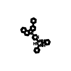 c1ccc(-c2ccc3c(c2)c2c4ccccc4ccc2n3-c2ccc(C3NC(c4ccccc4)NC(c4ccccc4)N3)nc2)cc1